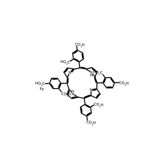 O=C(O)c1ccc(-c2c3nc(c(-c4ccc(C(=O)O)cc4C(=O)O)c4ccc([nH]4)c(-c4ccc(C(=O)O)cc4C(=O)O)c4nc(c(-c5ccc(C(=O)O)cc5C(=O)O)c5ccc2[nH]5)C=C4)C=C3)c(C(=O)O)c1.[Fe]